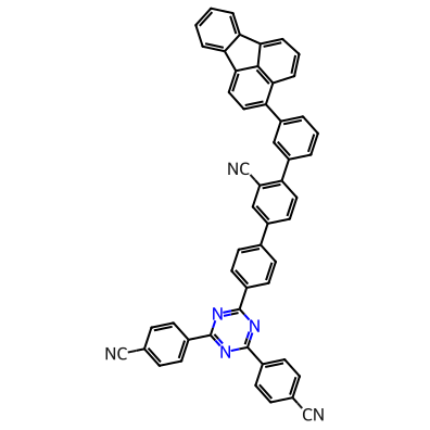 N#Cc1ccc(-c2nc(-c3ccc(C#N)cc3)nc(-c3ccc(-c4ccc(-c5cccc(-c6ccc7c8c(cccc68)-c6ccccc6-7)c5)c(C#N)c4)cc3)n2)cc1